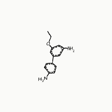 CCOc1cc(N)cc(-c2ccc(N)cc2)c1